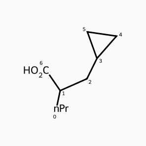 CCCC(CC1CC1)C(=O)O